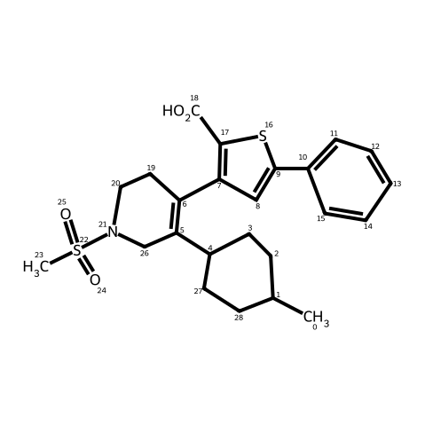 CC1CCC(C2=C(c3cc(-c4ccccc4)sc3C(=O)O)CCN(S(C)(=O)=O)C2)CC1